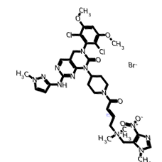 COc1cc(OC)c(Cl)c(N2Cc3cnc(Nc4ccn(C)n4)nc3N(C3CCN(C(=O)/C=C/C[N+](C)(C)Cc4c([N+](=O)[O-])ncn4C)CC3)C2=O)c1Cl.[Br-]